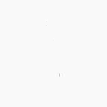 [CH]=C1CC[S+]([O-])CC1